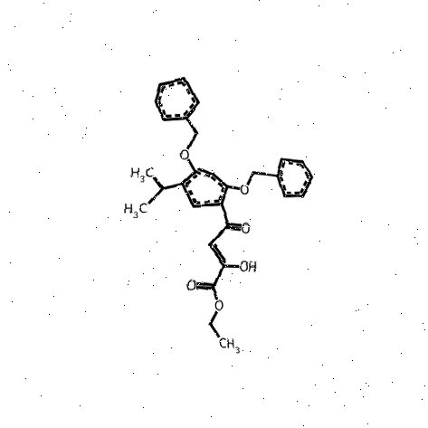 CCOC(=O)C(O)=CC(=O)c1cc(C(C)C)c(OCc2ccccc2)cc1OCc1ccccc1